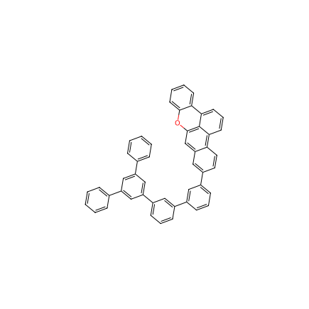 c1ccc(-c2cc(-c3ccccc3)cc(-c3cccc(-c4cccc(-c5ccc6c(c5)cc5c7c(cccc76)-c6ccccc6O5)c4)c3)c2)cc1